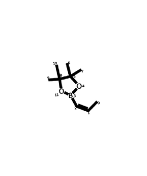 C/C=C\B1OC(C)(C)C(C)(C)O1